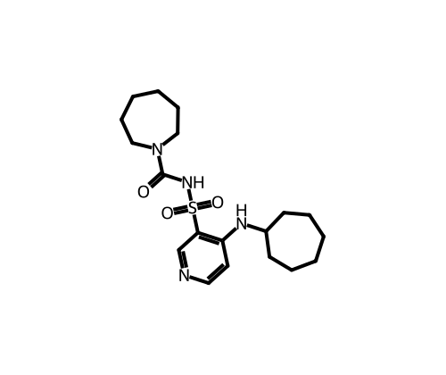 O=C(NS(=O)(=O)c1cnccc1NC1CCCCCC1)N1CCCCCC1